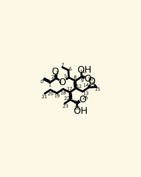 C=CC(=O)OC(CC)C(C(=O)O)=C(CC1CO1)C(CCCC)=C(C)C(=O)O